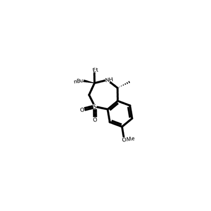 CCCC[C@]1(CC)CS(=O)(=O)c2cc(OC)ccc2[C@@H](C)N1